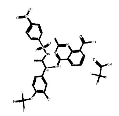 Cc1nc(N[C@@H](c2ccc(OC(F)(F)F)c(Cl)c2)C(C)NS(=O)(=O)c2ccc([N+](=O)[O-])cc2)c2cccc(C(=O)O)c2n1.O=C(O)C(F)(F)F